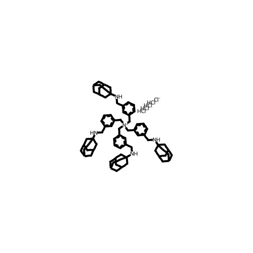 Cl.Cl.Cl.Cl.[Cl-].c1cc(CNC23CC4CC(CC(C4)C2)C3)cc(C[N+](Cc2cccc(CNC34CC5CC(CC(C5)C3)C4)c2)(Cc2cccc(CNC34CC5CC(CC(C5)C3)C4)c2)Cc2cccc(CNC34CC5CC(CC(C5)C3)C4)c2)c1